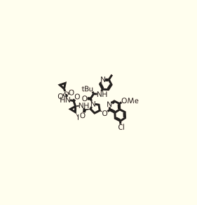 COc1cnc(O[C@@H]2C[C@@H](C(=O)N[C@]3(C(=O)NS(=O)(=O)C4CC4)C[C@H]3I)N(C(=O)C(Nc3ccc(C)nc3)C(C)(C)C)C2)c2cc(Cl)ccc12